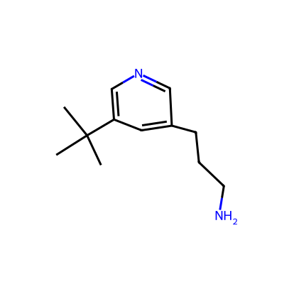 CC(C)(C)c1cncc(CCCN)c1